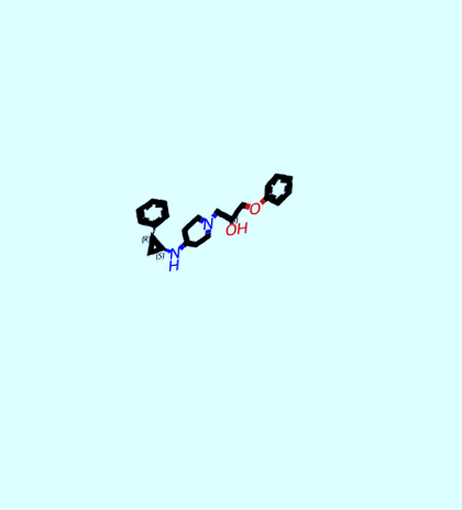 O[C@H](COc1ccccc1)CN1CCC(N[C@H]2C[C@@H]2c2ccccc2)CC1